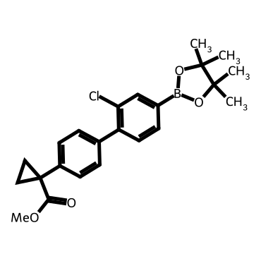 COC(=O)C1(c2ccc(-c3ccc(B4OC(C)(C)C(C)(C)O4)cc3Cl)cc2)CC1